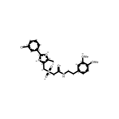 COc1ccc(CCNC(=O)CS(=O)(=O)Cc2nc(-c3cccc(Cl)c3)oc2C)cc1OC